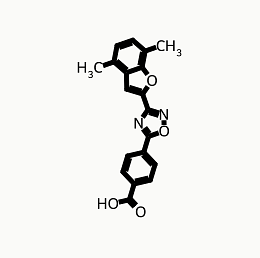 Cc1ccc(C)c2oc(-c3noc(-c4ccc(C(=O)O)cc4)n3)cc12